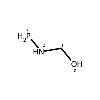 OCNP